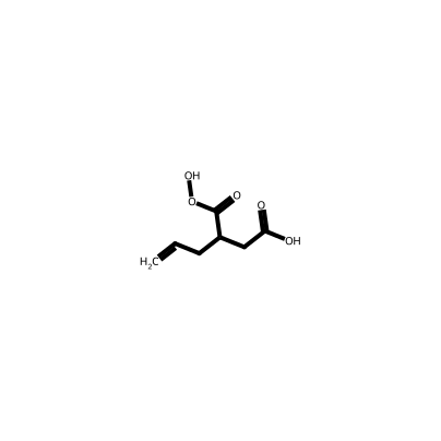 C=CCC(CC(=O)O)C(=O)OO